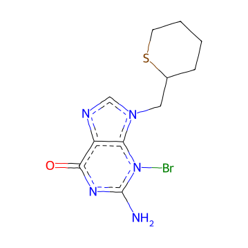 Nc1nc(=O)c2ncn(CC3CCCCS3)c2n1Br